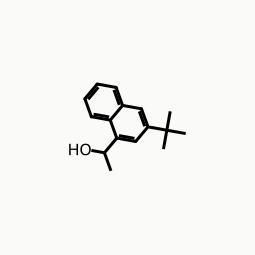 CC(O)c1cc(C(C)(C)C)cc2ccccc12